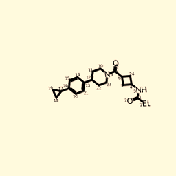 CCC(=O)NC1CC(C(=O)N2CCC(c3ccc(C4CC4)cc3)CC2)C1